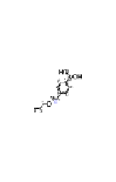 C=CCO/N=C/c1ccc(B(O)O)cc1